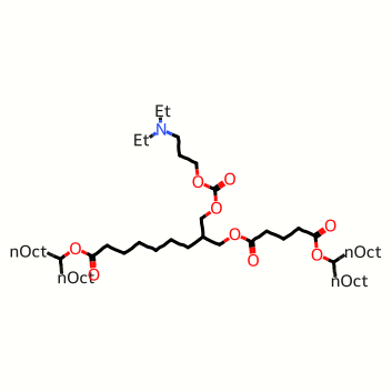 CCCCCCCCC(CCCCCCCC)OC(=O)CCCCCCC(COC(=O)CCCC(=O)OC(CCCCCCCC)CCCCCCCC)COC(=O)OCCCN(CC)CC